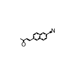 CC(=O)/C=C/c1ccc2cc(C#N)ccc2c1